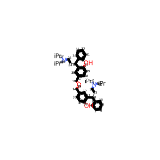 CC(C)N(CC[C@H](c1ccccc1)c1cc(COCc2ccc(O)c([C@H](CCN(C(C)C)C(C)C)c3ccccc3)c2)ccc1O)C(C)C